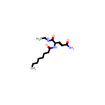 CCCCCCCC(=O)NC(/C=C/C(N)=O)C(=O)NCC